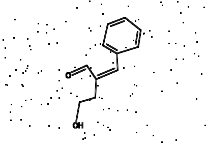 O=CC(=Cc1ccccc1)CCO